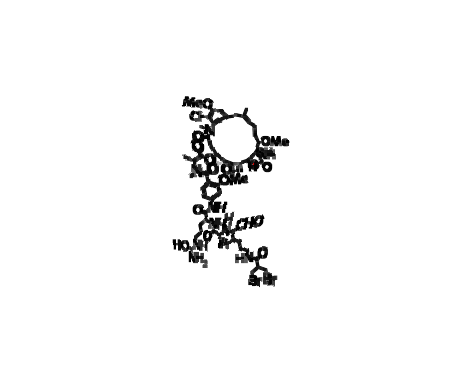 COc1cc(NC(=O)[C@H](CCCNC(N)O)NC(=O)[C@@H](NC(C=O)CCCCNC(=O)C(CBr)CBr)C(C)C)ccc1C(=O)N(C)[C@@H](C)C(=O)O[C@H]1CC(=O)N(C)c2cc(cc(OC)c2Cl)C/C(C)=C/C=C/[C@@H](OC)[C@@]2(O)C[C@H](OC(=O)N2)[C@@H](C)[C@@H]2O[C@@]12C